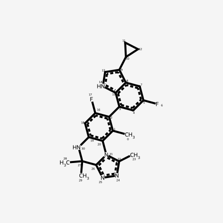 Cc1c(-c2cc(F)cc3c(C4CC4)c[nH]c23)c(F)cc2c1-n1c(C)nnc1C(C)(C)N2